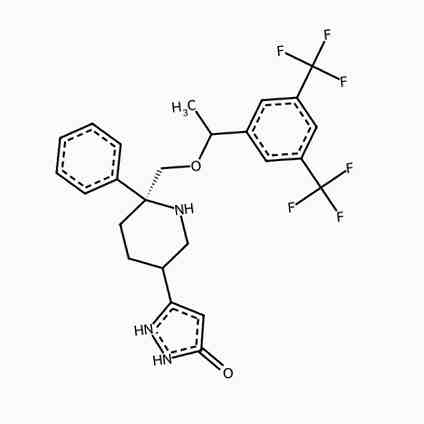 CC(OC[C@@]1(c2ccccc2)CCC(c2cc(=O)[nH][nH]2)CN1)c1cc(C(F)(F)F)cc(C(F)(F)F)c1